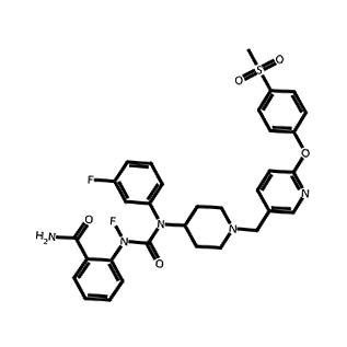 CS(=O)(=O)c1ccc(Oc2ccc(CN3CCC(N(C(=O)N(F)c4ccccc4C(N)=O)c4cccc(F)c4)CC3)cn2)cc1